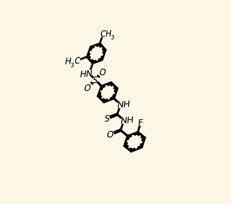 Cc1ccc(NS(=O)(=O)c2ccc(NC(=S)NC(=O)c3ccccc3F)cc2)c(C)c1